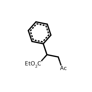 CCOC(=O)C(CC(C)=O)c1ccccc1